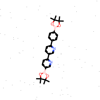 CC1(C)OB(c2ccc(-c3ccc(-c4ccc(B5OC(C)(C)C(C)(C)O5)cn4)cn3)cc2)OC1(C)C